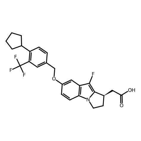 O=C(O)C[C@H]1CCn2c1c(F)c1cc(OCc3ccc(C4CCCC4)c(C(F)(F)F)c3)ccc12